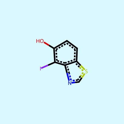 Oc1ccc2scnc2c1I